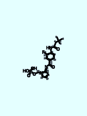 CC(C)(C)CC(=O)Nc1ccc(C(=O)N=c2sccn2COP(=O)(O)O)cc1F